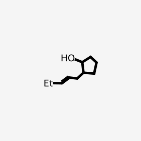 CCC=CCC1CCCC1O